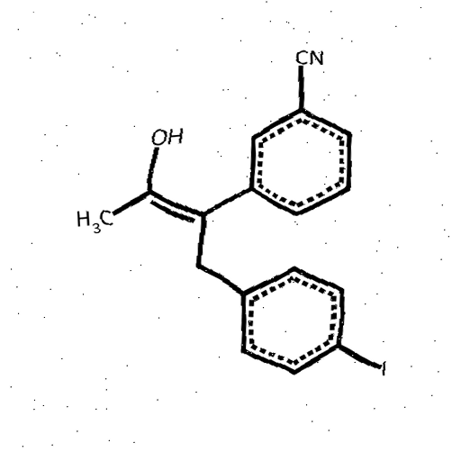 C/C(O)=C(\Cc1ccc(I)cc1)c1cccc(C#N)c1